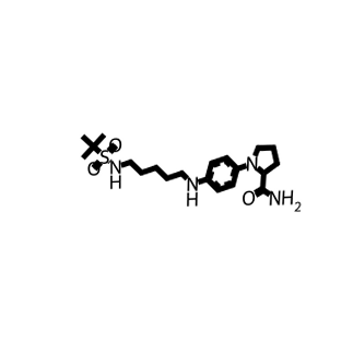 CC(C)(C)S(=O)(=O)NCCCCCNc1ccc(N2CCCC2C(N)=O)cc1